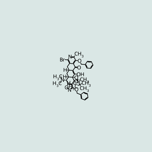 Cc1nc(Br)c2c(c1OCc1ccccc1)C(=O)C1=C(O)[C@]3(O[Si](C)(C)C(C)(C)C)C(=O)c4c(OCc5ccccc5)noc4[C@@H](N(C)C)[C@@H]3C[C@@H]1C2